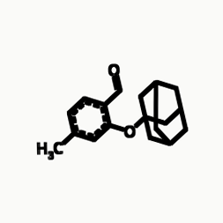 Cc1ccc(C=O)c(OC23CC4CC(CC(C4)C2)C3)c1